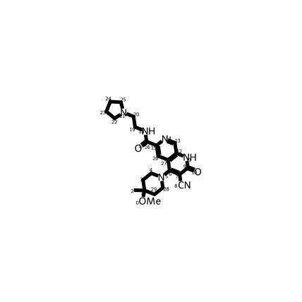 COC1(C)CCN(c2c(C#N)c(=O)[nH]c3cnc(C(=O)NCCN4CCCC4)cc23)CC1